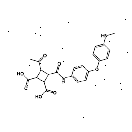 CNc1ccc(Oc2ccc(NC(=O)C3C(C(C)=O)C(C(=O)O)C3C(=O)O)cc2)cc1